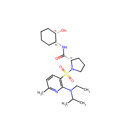 CCN(c1nc(C)ccc1S(=O)(=O)N1CCC[C@H]1C(=O)N[C@@H]1CCCC[C@@H]1O)C(C)C